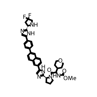 COC(=O)NC(C(=O)N1CCC[C@H]1c1ncc(-c2ccc3cc(-c4ccc(-c5cnc([C@@H]6CC(F)(F)CN6)[nH]5)cc4)ccc3c2)[nH]1)C1CCOCC1